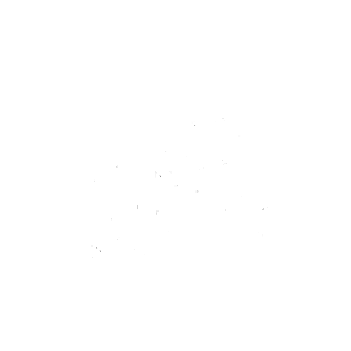 NC(=O)c1cccc2c1c1[c]cc(-c3cccs3)cc1n2Cc1cccc(I)c1